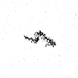 CCCCCC(O)c1ccc(N2C(=O)C(C)CC2COCCCCc2nnn[nH]2)s1